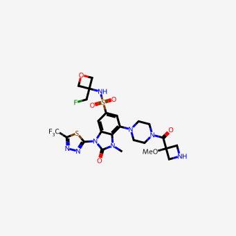 COC1(C(=O)N2CCN(c3cc(S(=O)(=O)NC4(CF)COC4)cc4c3n(C)c(=O)n4-c3nnc(C(F)(F)F)s3)CC2)CNC1